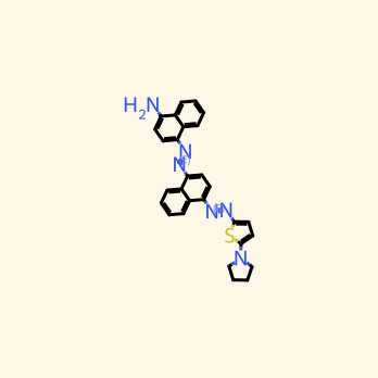 Nc1ccc(/N=N/c2ccc(/N=N/c3ccc(N4CCCC4)s3)c3ccccc23)c2ccccc12